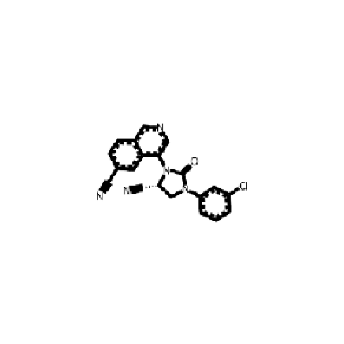 N#Cc1ccc2cncc(N3C(=O)N(c4cccc(Cl)c4)C[C@@H]3C#N)c2c1